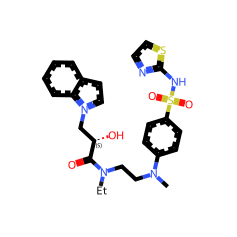 CCN(CCN(C)c1ccc(S(=O)(=O)Nc2nccs2)cc1)C(=O)[C@@H](O)Cn1ccc2ccccc21